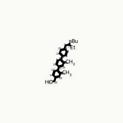 CCCCC(CC)Cc1ccc(-c2ccc(-c3ccc(CO)cc3C)cc2C)cc1